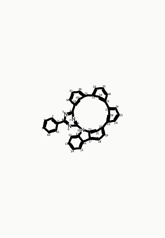 c1ccc(-c2nc3nc(n2)-n2c4ccccc4c4ccc(cc42)-c2cccc(c2)-c2cccc(c2)-c2cccc-3c2)cc1